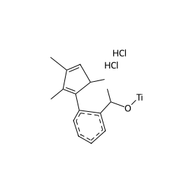 CC1=CC(C)C(c2ccccc2C(C)[O][Ti])=C1C.Cl.Cl